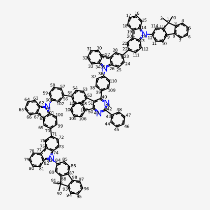 CC1(C)c2ccccc2-c2ccc(-n3c4ccccc4c4cc(-c5ccc6c(c5)c5ccccc5n6-c5ccc(-c6nc(-c7ccccc7)nc7c6-c6ccc(-c8cccc(-n9c%10ccccc%10c%10cc(-c%11ccc%12c(c%11)c%11ccccc%11n%12-c%11ccc%12c(c%11)C(C)(C)c%11ccccc%11-%12)ccc%109)c8)c8cccc-7c68)cc5)ccc43)cc21